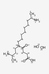 CC(N)CCCCCCCN(CCC(C)N)C(=O)CCC(=O)O.Cl.Cl